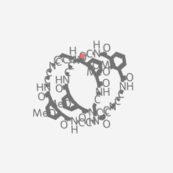 COc1c2cccc1C(=O)NCCN1CCNC(=O)c3cccc(c3OC)C(=O)NCCN(CCNC2=O)CCN2CCNC(=O)c3cccc(c3OC)C(=O)NCCN(CCNC(=O)c3cccc(c3OC)C(=O)NCC2)C(=O)C1